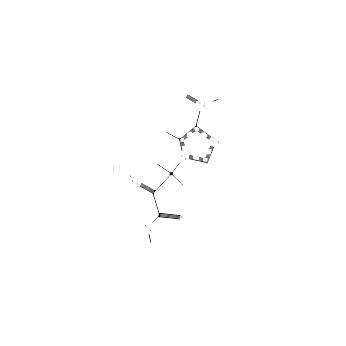 CNC(=O)/C(=N/O)C(C)(C)n1cnc([N+](=O)[O-])c1C